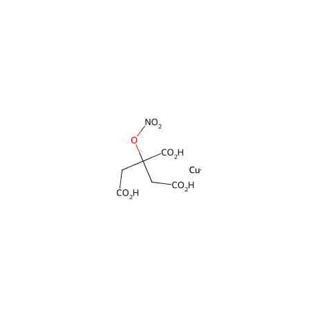 O=C(O)CC(CC(=O)O)(O[N+](=O)[O-])C(=O)O.[Cu]